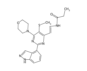 CCC(=O)N/C=C/c1nc(-c2cccc3[nH]ncc23)nc(N2CCOCC2)c1SC